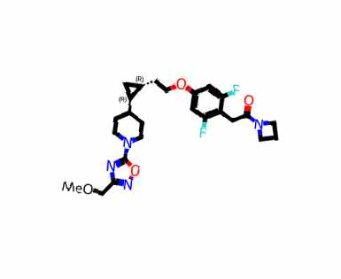 COCc1noc(N2CCC([C@H]3C[C@@H]3CCOc3cc(F)c(CC(=O)N4CCC4)c(F)c3)CC2)n1